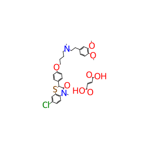 COc1ccc(CCN(C)CCCCOc2ccc(C3Sc4cc(Cl)ccc4N(C)C3=O)cc2)cc1OC.O=C(O)/C=C/C(=O)O